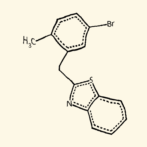 Cc1ccc(Br)cc1Cc1nc2ccccc2s1